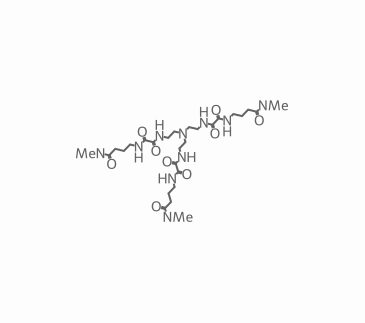 CNC(=O)CCCNC(=O)C(=O)NCCN(CCNC(=O)C(=O)NCCCC(=O)NC)CCNC(=O)C(=O)NCCCC(=O)NC